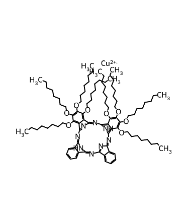 CCCCCCCCOc1c(OCCCCCCCC)c(OCCCCCCCC)c2c(c1OCCCCCCCC)-c1nc-2nc2[nH]c(nc3nc(nc4[nH]c(n1)c1ccccc41)-c1ccccc1-3)c1c(OCCCCCCCC)c(OCCCCCCCC)c(OCCCCCCCC)c(OCCCCCCCC)c21.[Cu+2]